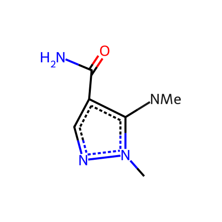 CNc1c(C(N)=O)cnn1C